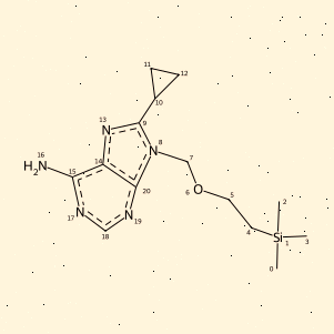 C[Si](C)(C)CCOCn1c(C2CC2)nc2c(N)ncnc21